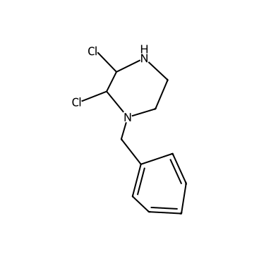 ClC1NCCN(Cc2ccccc2)C1Cl